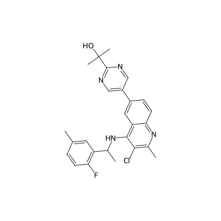 Cc1ccc(F)c(C(C)Nc2c(Cl)c(C)nc3ccc(-c4cnc(C(C)(C)O)nc4)cc23)c1